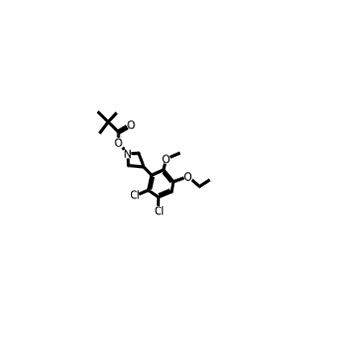 CCOc1cc(Cl)c(Cl)c(C2CN(OC(=O)C(C)(C)C)C2)c1OC